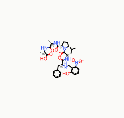 CC(C)C[C@H](NC(=O)[C@H](Cc1ccccc1)NCc1c(O)cccc1[N+](=O)[O-])C(=O)N1CCC[C@H]1C(=O)N[C@@H](C)C(=O)N[C@@H](C)C(=O)O